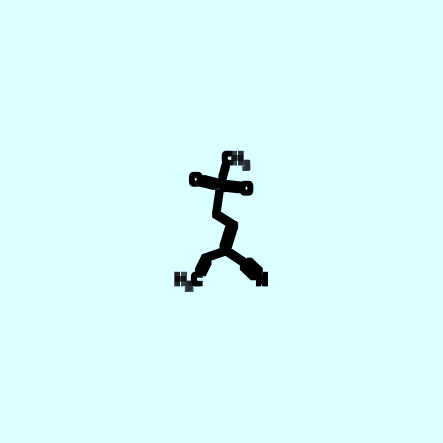 C=C/C(C#N)=C\CS(C)(=O)=O